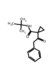 CC(C)(C)NC(=O)C1(C(=O)Cc2ccccc2)CC1